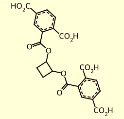 O=C(O)c1ccc(C(=O)O)c(C(=O)OC2CCC2OC(=O)c2cc(C(=O)O)ccc2C(=O)O)c1